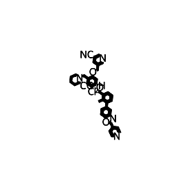 Cc1c(COc2cc(OCc3cncc(C#N)c3)c(CN3CCCCC3C(=O)O)cc2Cl)cccc1-c1ccc2oc(-c3ccncc3)nc2c1